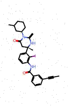 C=C1N[C@](C)(c2cccc(NC(=O)c3cccc(C#CC)c3)c2I)CC(=O)N1[C@@H]1CCCC(C)C1